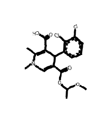 COC(C)OC(=O)C1=CN(C)C(C)=C(C(=O)O)C1c1cccc(Cl)c1Cl